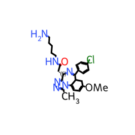 COC1=CC=C2C(C1)C(c1ccc(Cl)cc1)=N[C@@H](CC(=O)NCCCCCN)c1nnc(C)n12